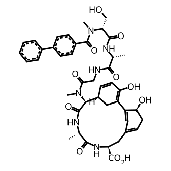 C[C@@H]1NC(=O)[C@@H](N(C)C(=O)CNC(=O)[C@@H](C)NC(=O)[C@@H](CO)N(C)C(=O)c2ccc(-c3ccccc3)cc2)[C@H]2C=CC(O)=C(C2)C2=CC(=CC[C@@H]2O)C[C@@H](C(=O)O)NC1=O